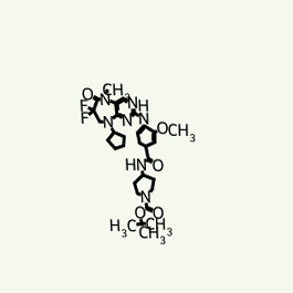 COC1=CC(C(=O)NC2CCN(C(=O)OC(C)(C)C)CC2)CC=C1Nc1ncc2c(n1)N(C1CCCC1)CC(F)(F)C(=O)N2C